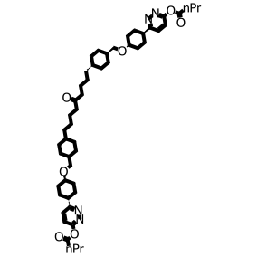 CCCC(=O)Oc1ccc([C@H]2CC[C@H](OCC3CCC(CCCCC(=O)CCCC[C@H]4CC[C@H](CO[C@H]5CC[C@H](c6ccc(OC(=O)CCC)nn6)CC5)CC4)CC3)CC2)nn1